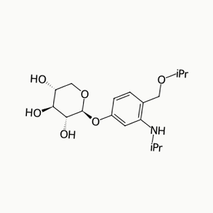 CC(C)Nc1cc(O[C@@H]2OC[C@@H](O)[C@H](O)[C@H]2O)ccc1COC(C)C